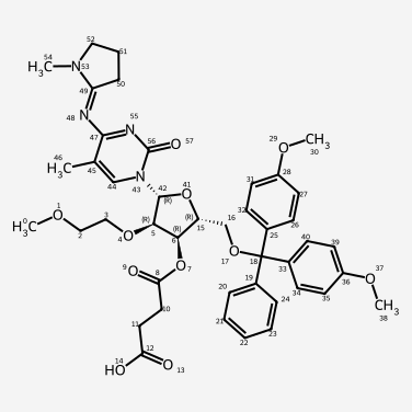 COCCO[C@@H]1[C@H](OC(=O)CCC(=O)O)[C@@H](COC(c2ccccc2)(c2ccc(OC)cc2)c2ccc(OC)cc2)O[C@H]1n1cc(C)c(N=C2CCCN2C)nc1=O